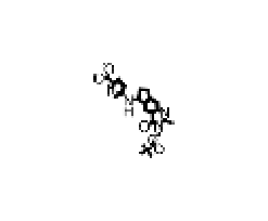 COC(=O)c1ccc(N[C@H]2CCc3cc4nc(C)n(COC(=O)C(C)(C)C)c(=O)c4cc32)cn1